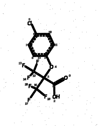 O=C(O)C(Oc1ccc(Cl)cc1)(C(F)(F)F)C(F)(F)F